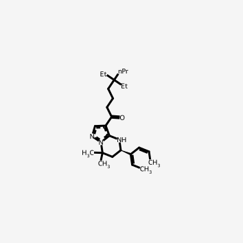 C/C=C\C(=C/C)[C@H]1CC(C)(C)n2ncc(C(=O)CCCC(CC)(CC)CCC)c2N1